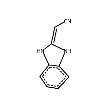 N#CC=C1Nc2ccccc2N1